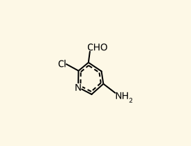 Nc1cnc(Cl)c(C=O)c1